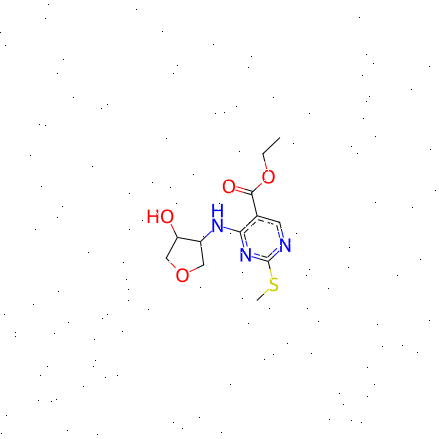 CCOC(=O)c1cnc(SC)nc1NC1COCC1O